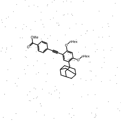 CCCCCCOc1cc(OCCCCCC)c(C23CC4CC(CC(C4)C2)C3)cc1C#Cc1ccc(C(=O)OC)cc1